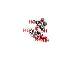 O=C1OC2(c3ccc(O)cc3Oc3cc(O)ccc32)c2ccccc21.O=C1OC2(c3ccc(O)cc3Oc3cc(O)ccc32)c2ccccc21.O=P(O)(O)OP(=O)(O)O